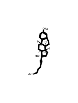 CC(=O)OCCCC#C[C@]1(O)CC[C@H]2[C@@H]3CCc4cc(OC(C)=O)ccc4[C@H]3CC[C@@]21C